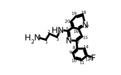 NCCCNc1nc(-c2cccc(F)c2)cc2ncccc12